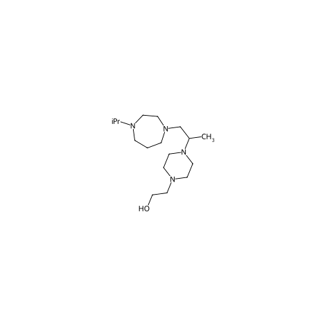 CC(C)N1CCCN(CC(C)N2CCN(CCO)CC2)CC1